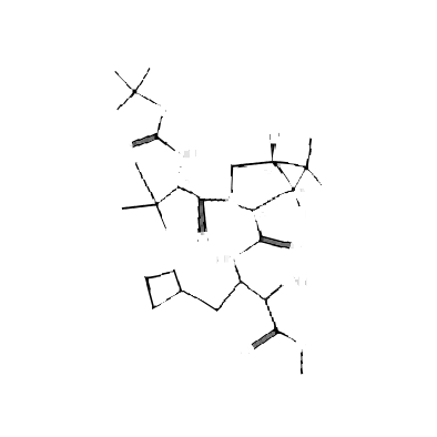 COC(=O)C(O)C(CC1CCC1)NC(=O)[C@@H]1[C@@H]2[C@H](CN1C(=O)[C@@H](NC(=O)NC(C)(C)C)C(C)(C)C)C2(C)C